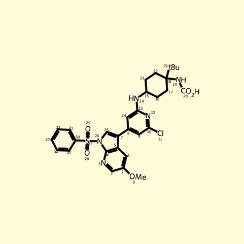 COc1cnc2c(c1)c(-c1cc(Cl)nc(NC3CCC(NC(=O)O)(C(C)(C)C)CC3)c1)cn2S(=O)(=O)c1ccccc1